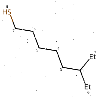 CCC(CC)CCCCCS